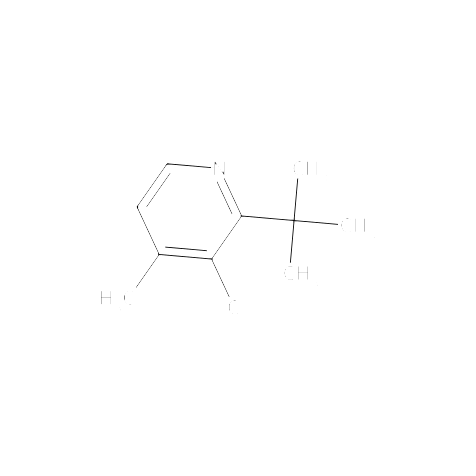 Cc1ccnc(C(C)(C)C)c1Cl